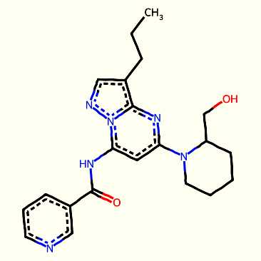 CCCc1cnn2c(NC(=O)c3cccnc3)cc(N3CCCCC3CO)nc12